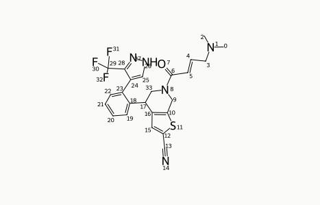 CN(C)C/C=C/C(=O)N1Cc2sc(C#N)cc2C(c2ccccc2-c2c[nH]nc2C(F)(F)F)C1